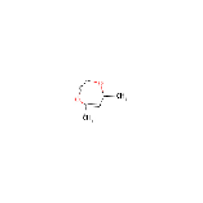 CC1=CC(C)OCCO1